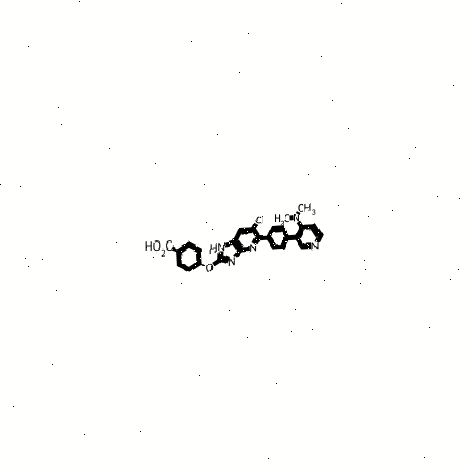 CN(C)c1ccncc1-c1ccc(-c2nc3nc(O[C@H]4CC[C@H](C(=O)O)CC4)[nH]c3cc2Cl)cc1